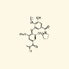 CCOc1c(O)cc(C(=O)N2CCCC2)cc1Oc1c(OC)cc(C(=O)N(C)CC)cc1OC